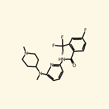 CN1CCC(N(C)c2cccc(NC(=O)c3ccc(F)cc3C(F)(F)F)n2)CC1